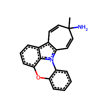 CC1(N)C=Cc2c(n3c4c(cccc24)Oc2ccccc2-3)C=C1